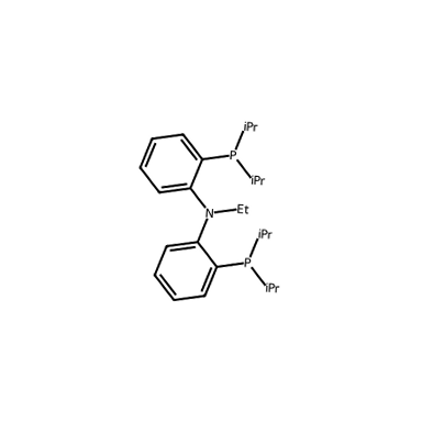 CCN(c1ccccc1P(C(C)C)C(C)C)c1ccccc1P(C(C)C)C(C)C